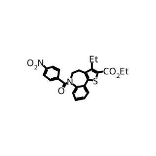 CCOC(=O)c1sc2c(c1CC)CCN(C(=O)c1ccc([N+](=O)[O-])cc1)c1ccccc1-2